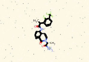 CC(C(=O)Nc1cccc2c(=O)n([C@H](C)C(N)=O)ccc12)c1cccc(C(F)(F)F)c1F